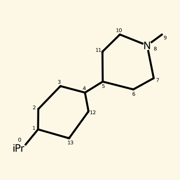 CC(C)C1CCC(C2CCN(C)CC2)CC1